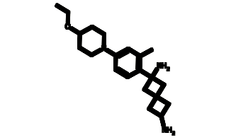 CCOC1CCN(c2ccc(C3(N)CC4(CC(N)C4)C3)c(C)c2)CC1